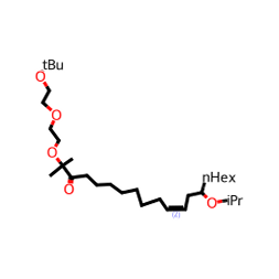 CCCCCCC(C/C=C\CCCCCCCC(=O)C(C)(C)OCCOCCOC(C)(C)C)OC(C)C